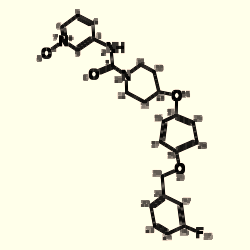 O=C(Nc1ccc[n+]([O-])c1)N1CCC(Oc2ccc(OCc3cccc(F)c3)cc2)CC1